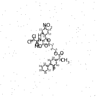 CC(C(=O)OCCCC(=O)OC(c1ccc([N+](=O)[O-])cc1)C(CO)NC(=O)C(Cl)Cl)c1ccc(-c2ccccc2)c(F)c1